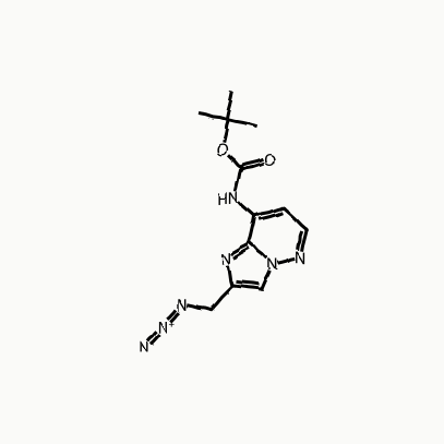 CC(C)(C)OC(=O)Nc1ccnn2cc(CN=[N+]=[N-])nc12